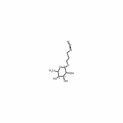 CC1O[C@@H](OCCCN=[N+]=[N-])C(O)[C@@H](O)[C@H]1O